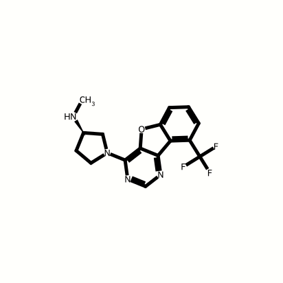 CN[C@@H]1CCN(c2ncnc3c2oc2cccc(C(F)(F)F)c23)C1